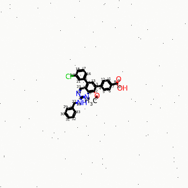 COc1c(-c2ccc(C(=O)O)cc2)cc(-c2cccc(Cl)c2)c2cnc(NCc3ccccc3)nc12